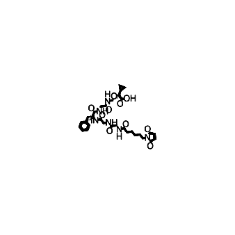 O=C(CCCCCN1C(=O)C=CC1=O)NCC(=O)NCC(=O)N[C@@H](Cc1ccccc1)C(=O)NCC(=O)NCO[C@@H](C(=O)O)C1CC1